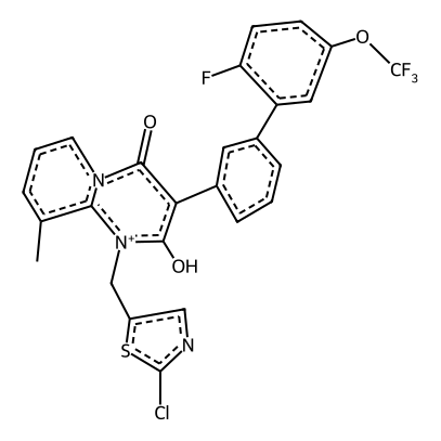 Cc1cccn2c(=O)c(-c3cccc(-c4cc(OC(F)(F)F)ccc4F)c3)c(O)[n+](Cc3cnc(Cl)s3)c12